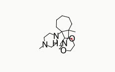 CN1CCN(C2(C3CCCOC3)CCCCCC2(C)C(N)=O)CC1